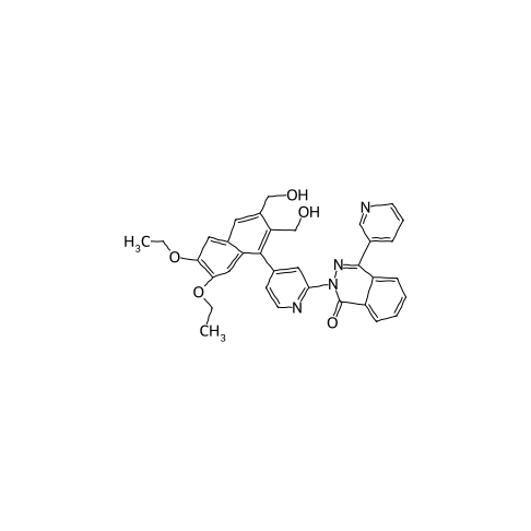 CCOc1cc2cc(CO)c(CO)c(-c3ccnc(-n4nc(-c5cccnc5)c5ccccc5c4=O)c3)c2cc1OCC